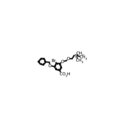 C[Si](C)(C)CCOCOc1cc(C(=O)O)cc(OCc2ccccc2)c1Br